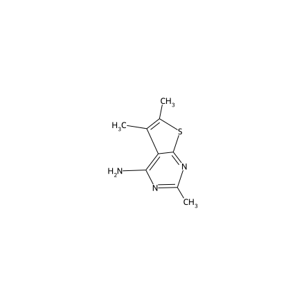 Cc1nc(N)c2c(C)c(C)sc2n1